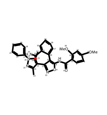 COc1ccc(C(=O)Nc2onc(-c3c(C)nn(-c4ccccc4)c3C)c2-c2ccccc2C(N)=O)c(OC)c1